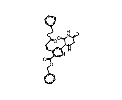 O=C1CNC(c2cc(/C=C\C(=O)OCc3ccccc3)c(C(=O)OCc3ccccc3)cn2)C(=O)N1